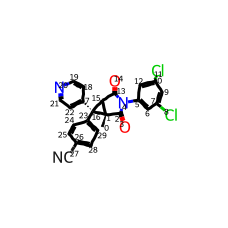 C[C@]12C(=O)N(c3cc(Cl)cc(Cl)c3)C(=O)C1[C@]2(c1ccncc1)c1ccc(C#N)cc1